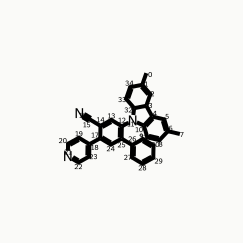 CC1=CC2c3cc(C)ccc3N(c3cc(C#N)c(-c4ccncc4)cc3-c3ccccc3)C2C=C1